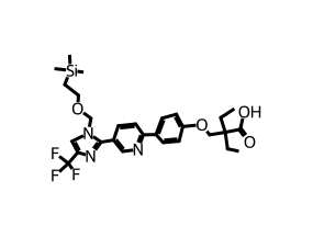 CCC(CC)(COc1ccc(-c2ccc(-c3nc(C(F)(F)F)cn3COCC[Si](C)(C)C)cn2)cc1)C(=O)O